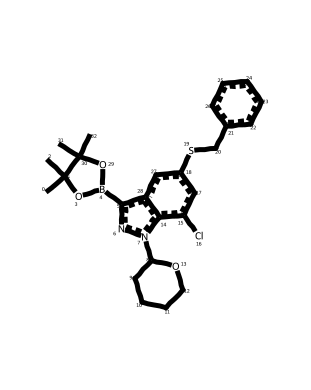 CC1(C)OB(c2nn(C3CCCCO3)c3c(Cl)cc(SCc4ccccc4)cc23)OC1(C)C